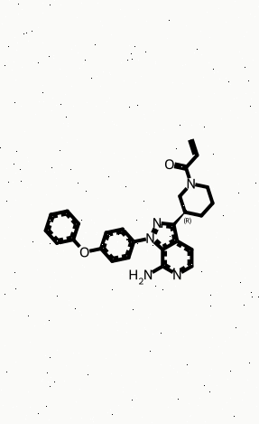 C=CC(=O)N1CCC[C@@H](c2nn(-c3ccc(Oc4ccccc4)cc3)c3c(N)nccc23)C1